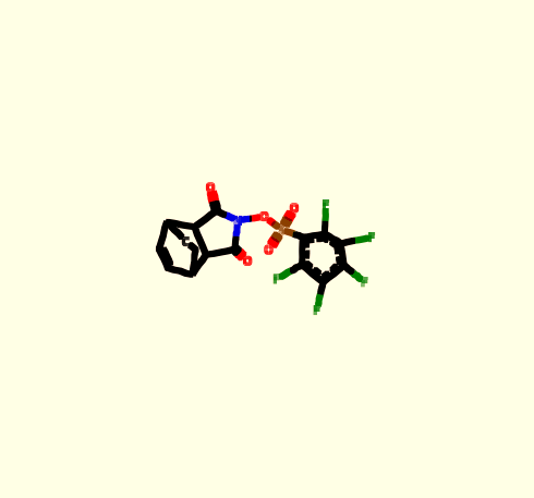 O=C1C2C3C=CC(CC3)C2C(=O)N1OS(=O)(=O)c1c(F)c(F)c(F)c(F)c1F